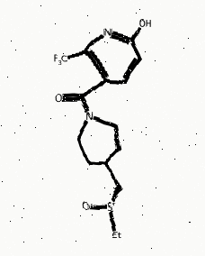 CC[S+]([O-])CC1CCN(C(=O)c2ccc(O)nc2C(F)(F)F)CC1